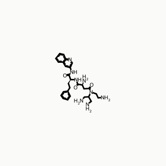 NCCN(C(=O)C[C@H](N)C(=O)N[C@@H](CCc1ccccc1)C(=O)Nc1cnc2ccccc2c1)C(CN)CN